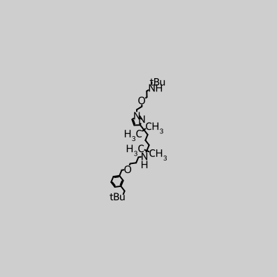 CC(C)(C)Cc1cccc(COCCCNC(C)(C)CCCC(C)(C)c2ccn(CCOCCNC(C)(C)C)n2)c1